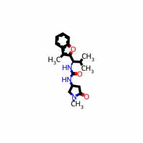 Cc1c([C@H](NC(=O)NC2CC(=O)N(C)C2)C(C)C)oc2ccccc12